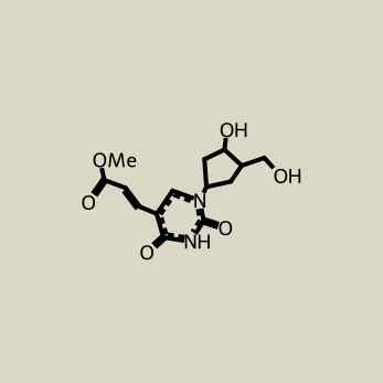 COC(=O)/C=C/c1cn(C2CC(O)C(CO)C2)c(=O)[nH]c1=O